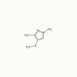 CSc1cn(C)nc1C